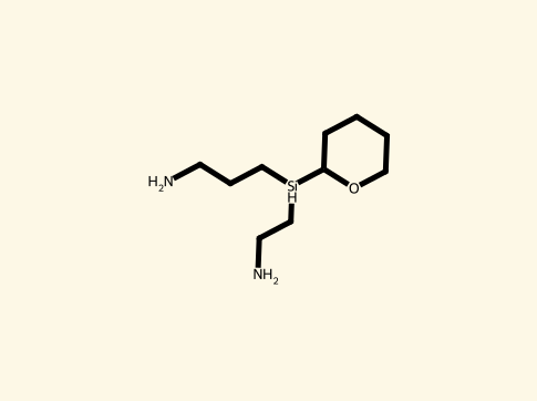 NCCC[SiH](CCN)C1CCCCO1